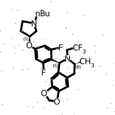 CCCCN1CC[C@H](Oc2cc(F)c([C@@H]3c4cc5c(cc4C[C@@H](C)N3CC(F)(F)F)OCO5)c(F)c2)C1